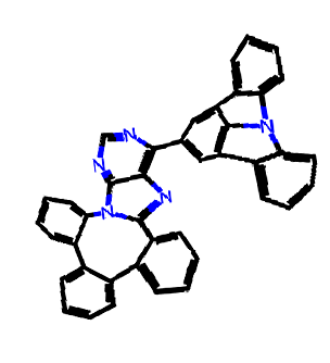 c1ccc2c(c1)-c1ccccc1-c1nc3c(-c4cc5c6ccccc6n6c7ccccc7c(c4)c56)ncnc3n1-c1ccccc1-2